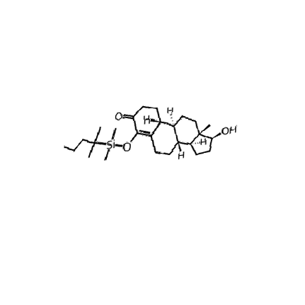 CCCC(C)(C)[Si](C)(C)OC1=C2CC[C@@H]3[C@H](CC[C@]4(C)[C@@H](O)CC[C@@H]34)[C@H]2CCC1=O